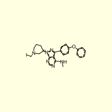 CNc1ncnc2c1c(-c1ccc(Oc3ccccc3)cc1)nn2[C@@H]1CCCN(CI)C1